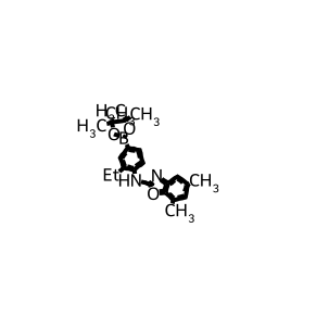 CCc1cc(B2OC(C)(C)C(C)(C)O2)ccc1Nc1nc2cc(C)cc(C)c2o1